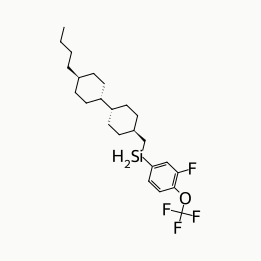 CCCC[C@H]1CC[C@H]([C@H]2CC[C@H](C[SiH2]c3ccc(OC(F)(F)F)c(F)c3)CC2)CC1